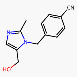 Cc1ncc(CO)n1Cc1ccc(C#N)cc1